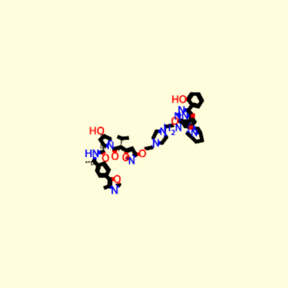 Cc1ncoc1-c1ccc([C@H](C)NC(=O)[C@@H]2C[C@@H](O)CN2C(=O)[C@@H](c2cc(OCCN3CCN(CCOc4cc(N5C6CCC5CN(c5cc(-c7ccccc7O)nnc5N)C6)ccn4)CC3)no2)C(C)C)cc1